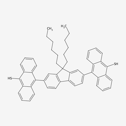 CCCCCCC1(CCCCCC)c2cc(-c3c4ccccc4c(S)c4ccccc34)ccc2-c2ccc(-c3c4ccccc4c(S)c4ccccc34)cc21